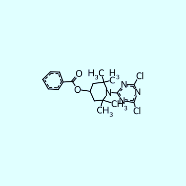 CC1(C)CC(OC(=O)c2ccccc2)CC(C)(C)N1c1nc(Cl)nc(Cl)n1